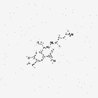 C/C(=N\N=C(/C)c1cc2c(cc1[N+](=O)O)OCO2)SCC(=O)O